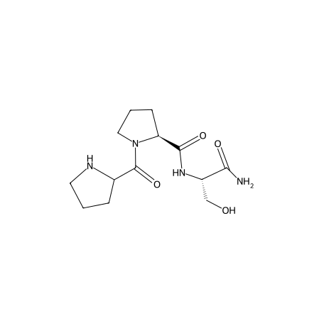 NC(=O)[C@H](CO)NC(=O)[C@@H]1CCCN1C(=O)C1CCCN1